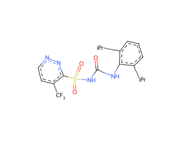 CC(C)c1cccc(C(C)C)c1NC(=O)NS(=O)(=O)c1nnccc1C(F)(F)F